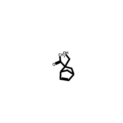 CC(=O)C1(CO)CC2C=CC1C2